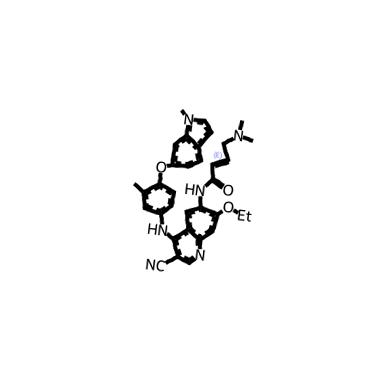 CCOc1cc2ncc(C#N)c(Nc3ccc(Oc4ccc5ccn(C)c5c4)c(C)c3)c2cc1NC(=O)/C=C/CN(C)C